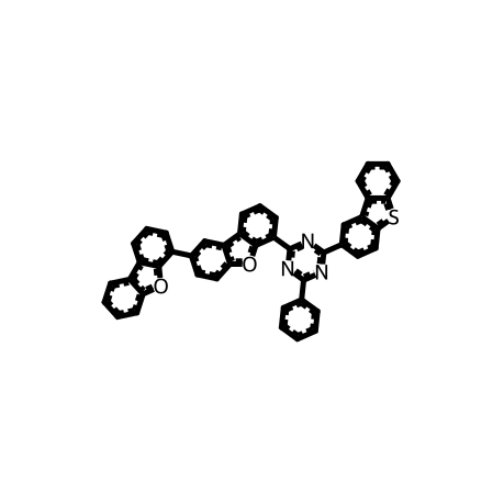 c1ccc(-c2nc(-c3ccc4sc5ccccc5c4c3)nc(-c3cccc4c3oc3ccc(-c5cccc6c5oc5ccccc56)cc34)n2)cc1